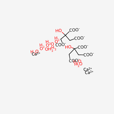 O.O.O.O.O.O.O.O.O=C([O-])CC(O)(CC(=O)[O-])C(=O)[O-].O=C([O-])CC(O)(CC(=O)[O-])C(=O)[O-].[Ca+2].[Ca+2].[Ca+2]